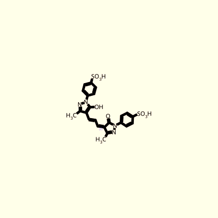 CC1=NN(c2ccc(S(=O)(=O)O)cc2)C(=O)/C1=C\C=Cc1c(C)nn(-c2ccc(S(=O)(=O)O)cc2)c1O